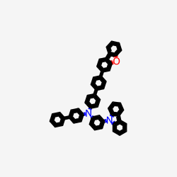 c1ccc(-c2ccc(N(c3ccc(-c4ccc(-c5ccc6c(c5)oc5ccccc56)cc4)cc3)c3cccc(-n4c5ccccc5c5ccccc54)c3)cc2)cc1